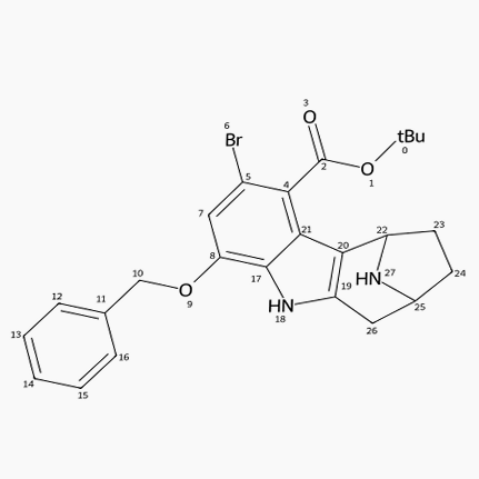 CC(C)(C)OC(=O)c1c(Br)cc(OCc2ccccc2)c2[nH]c3c(c12)C1CCC(C3)N1